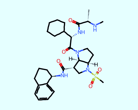 CN[C@@H](C)C(=O)N[C@H](C(=O)N1CC[C@@H]2[C@H]1[C@@H](C(=O)N[C@@H]1CCCc3ccccc31)CN2S(C)(=O)=O)C1CCCCC1